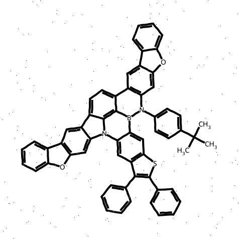 CC(C)(C)c1ccc(N2B3c4cc5sc(-c6ccccc6)c(-c6ccccc6)c5cc4-n4c5cc6oc7ccccc7c6cc5c5ccc(c3c54)-c3cc4c(cc32)oc2ccccc24)cc1